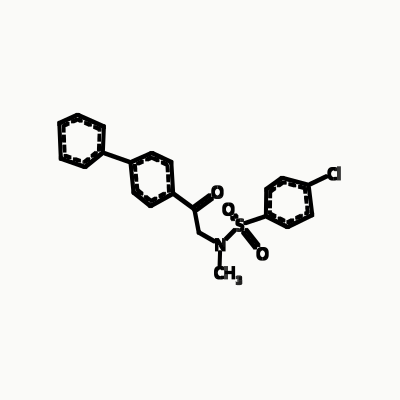 CN(CC(=O)c1ccc(-c2ccccc2)cc1)S(=O)(=O)c1ccc(Cl)cc1